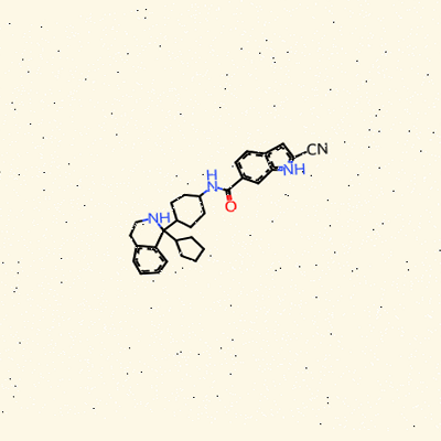 N#Cc1cc2ccc(C(=O)NC3CCC(C4(C5CCCC5)NCCc5ccccc54)CC3)cc2[nH]1